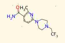 Cc1nc(N2CCN(CC(F)(F)F)CC2)ccc1C(N)=O